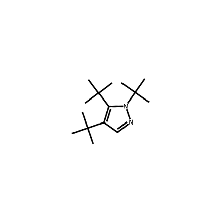 CC(C)(C)c1cnn(C(C)(C)C)c1C(C)(C)C